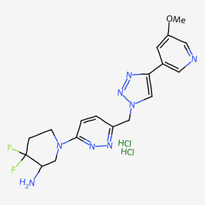 COc1cncc(-c2cn(Cc3ccc(N4CCC(F)(F)C(N)C4)nn3)nn2)c1.Cl.Cl